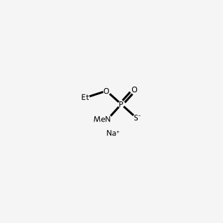 CCOP(=O)([S-])NC.[Na+]